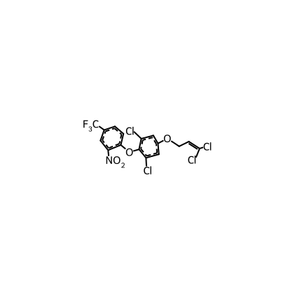 O=[N+]([O-])c1cc(C(F)(F)F)ccc1Oc1c(Cl)cc(OCC=C(Cl)Cl)cc1Cl